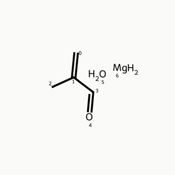 C=C(C)C=O.O.[MgH2]